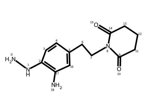 NNc1ccc(CCN2C(=O)CCCC2=O)cc1N